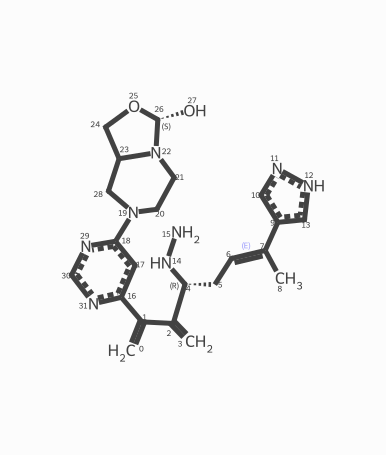 C=C(C(=C)[C@@H](C/C=C(\C)c1cn[nH]c1)NN)c1cc(N2CCN3C(CO[C@@H]3O)C2)ncn1